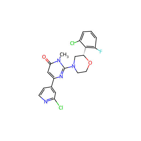 Cn1c(N2CCO[C@@H](c3c(F)cccc3Cl)C2)nc(-c2ccnc(Cl)c2)cc1=O